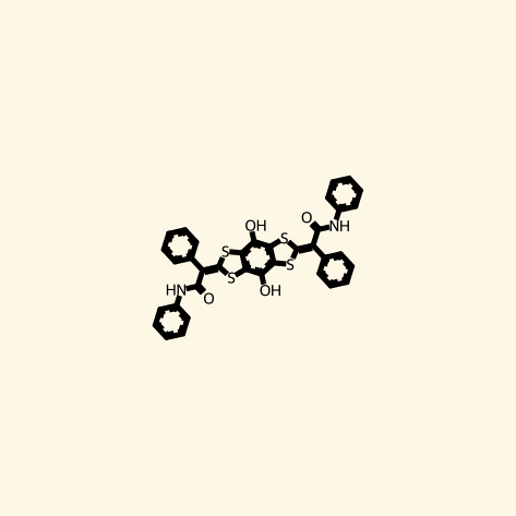 O=C(Nc1ccccc1)C(=C1Sc2c(O)c3c(c(O)c2S1)SC(=C(C(=O)Nc1ccccc1)c1ccccc1)S3)c1ccccc1